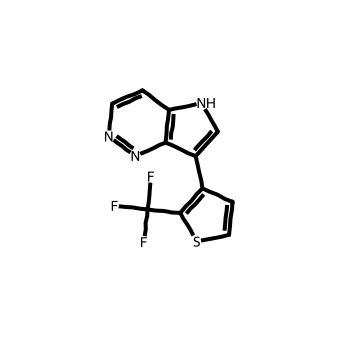 FC(F)(F)c1sccc1-c1c[nH]c2ccnnc12